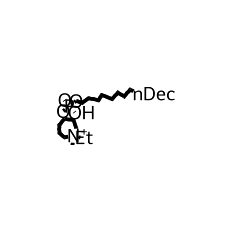 CCCCCCCCCCCCCCCCCCOP(=O)(O)OC1CCC[N+](C)(CC)CC1